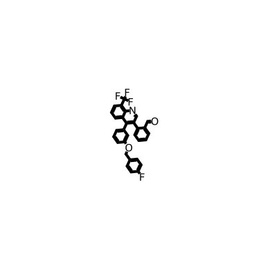 O=Cc1ccccc1-c1cnc2c(C(F)(F)F)cccc2c1-c1cccc(OCc2ccc(F)cc2)c1